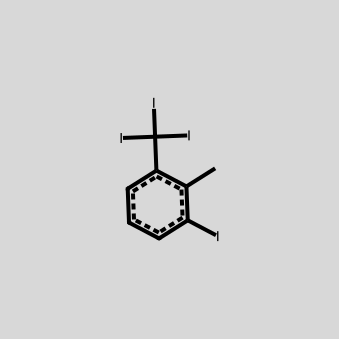 Cc1c(I)cccc1C(I)(I)I